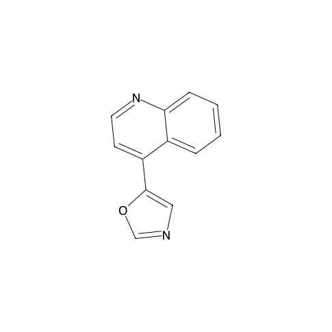 c1ccc2c(-c3cnco3)ccnc2c1